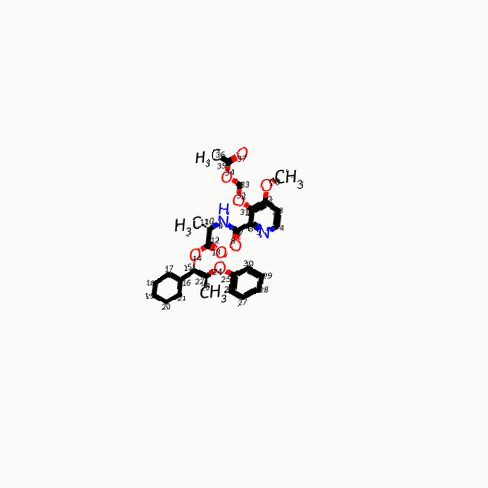 COc1ccnc(C(=O)N[C@@H](C)C(=O)O[C@@H](C2CCCCC2)[C@H](C)Oc2ccccc2)c1OCOC(C)=O